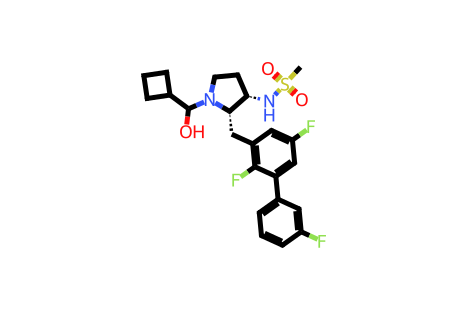 CS(=O)(=O)N[C@H]1CCN(C(O)C2CCC2)[C@H]1Cc1cc(F)cc(-c2cccc(F)c2)c1F